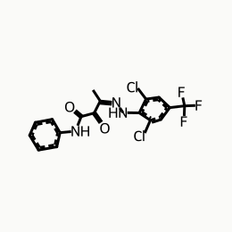 CC(=NNc1c(Cl)cc(C(F)(F)F)cc1Cl)C(=O)C(=O)Nc1ccccc1